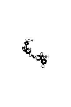 C[C@]1(O)C[C@@H](n2ncc3cc(OCCN4CCC5(CC4)C(=O)Nc4ccc(Cl)cc45)cnc32)C1